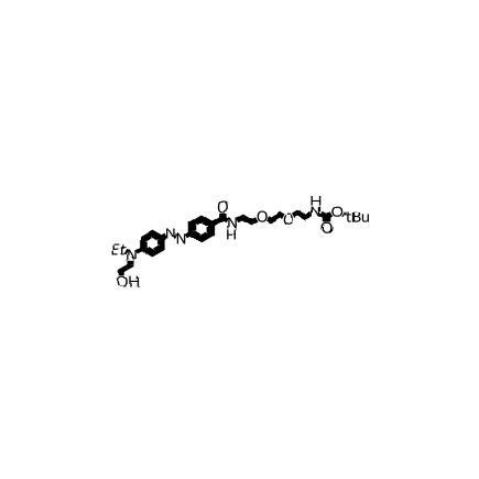 CCN(CCO)c1ccc(/N=N/c2ccc(C(=O)NCCOCCOCCNC(=O)OC(C)(C)C)cc2)cc1